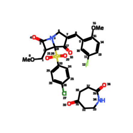 COCC1C(=O)N2CC(=Cc3cc(F)ccc3OC)C(=O)C12S(=O)(=O)c1ccc(Cl)cc1.O=C1CCNC(=O)CC1